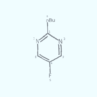 [CH2]CCCc1ncc(F)cn1